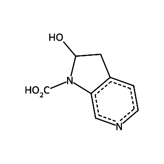 O=C(O)N1c2cnccc2CC1O